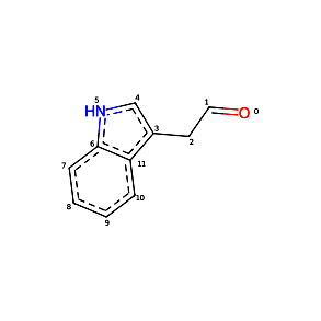 O=CCc1c[nH]c2ccccc12